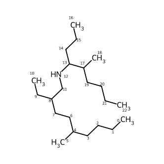 CCCCC(C)CCC(CC)CNC(CCC)C(C)CCCC